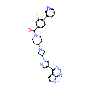 O=C(c1ccc(-c2cccnc2)c(F)c1)N1CCC(N2C[C](n3cc(-c4ncnc5[nH]ccc45)cn3)C2)CC1